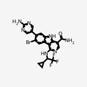 NC(=O)c1cnc(NC(C2CC2)C(F)(F)F)c2c1[nH]c1cc(-c3cnc(N)nc3)c(Br)cc12